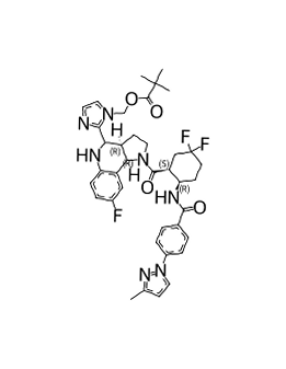 Cc1ccn(-c2ccc(C(=O)N[C@@H]3CCC(F)(F)C[C@@H]3C(=O)N3CC[C@@H]4C(c5nccn5COC(=O)C(C)(C)C)Nc5ccc(F)cc5[C@@H]43)cc2)n1